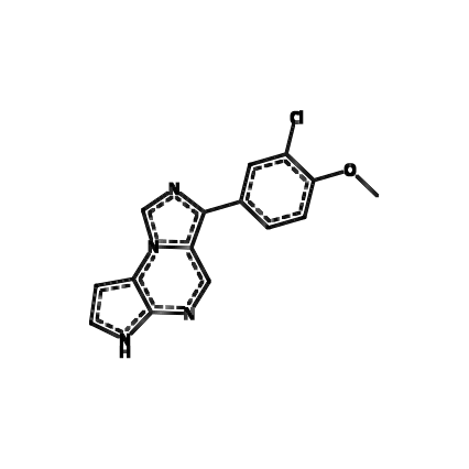 COc1ccc(-c2ncn3c2cnc2[nH]ccc23)cc1Cl